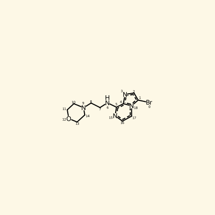 Brc1cnc2c(NCCN3CCOCC3)nccn12